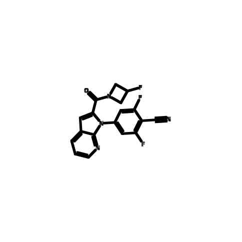 N#Cc1c(F)cc(-n2c(C(=O)N3CC(F)C3)cc3cccnc32)cc1F